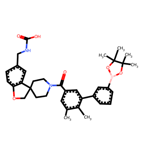 Cc1cc(C(=O)N2CCC3(CC2)COc2ccc(CNC(=O)O)cc23)cc(-c2cccc(B3OC(C)(C)C(C)(C)O3)c2)c1C